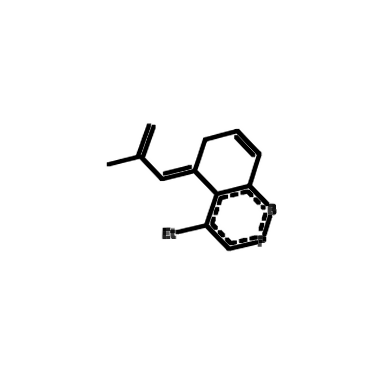 C=C(C)/C=C1\CC=Cc2bpcc(CC)c21